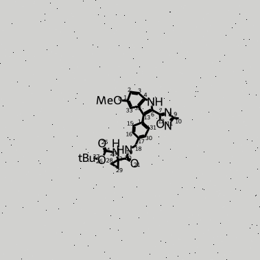 COc1ccc2[nH]c(-c3nc(C)no3)c(-c3ccc(CNC(=O)C4(NC(=O)OC(C)(C)C)CC4)cc3)c2c1